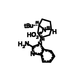 CC(C)(C)[C@@]12CC[C@@H](C[C@@H](n3c(N)nc4ccccc43)C1)N2C(=O)O